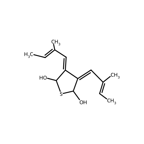 CC=C(C)C=C1C(=CC(C)=CC)C(O)SC1O